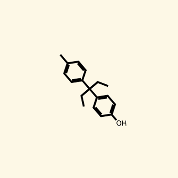 CCC(CC)(c1ccc(C)cc1)c1ccc(O)cc1